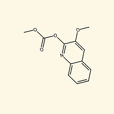 COC(=O)Oc1nc2ccccc2cc1OC